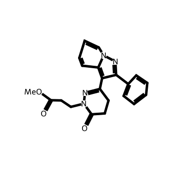 COC(=O)CCN1N=C(c2c(-c3ccccc3)nn3ccccc23)CCC1=O